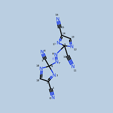 N#CC1=NC(C#N)(/N=N/C2(C#N)N=CC(C#N)=N2)N=C1